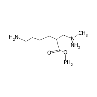 CN(N)CC(CCCCN)C(=O)OP